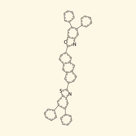 c1ccc(-c2cc3nc(-c4ccc5cc6cc(-c7nc8cc(-c9ccccc9)c(-c9ccccc9)cc8s7)ccc6cc5c4)oc3cc2-c2ccccc2)cc1